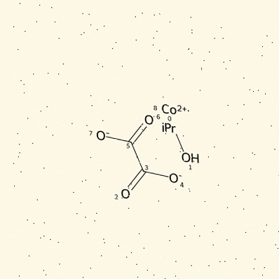 CC(C)O.O=C([O-])C(=O)[O-].[Co+2]